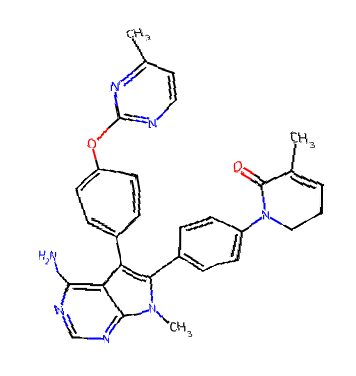 CC1=CCCN(c2ccc(-c3c(-c4ccc(Oc5nccc(C)n5)cc4)c4c(N)ncnc4n3C)cc2)C1=O